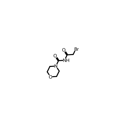 O=C(CBr)NC(=O)N1CCOCC1